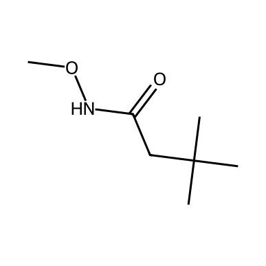 CONC(=O)CC(C)(C)C